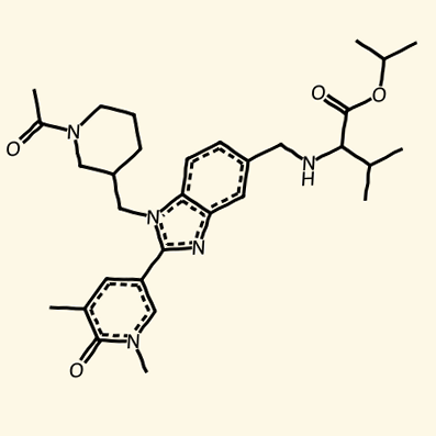 CC(=O)N1CCCC(Cn2c(-c3cc(C)c(=O)n(C)c3)nc3cc(CNC(C(=O)OC(C)C)C(C)C)ccc32)C1